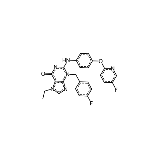 CCn1cnc2c1c(=O)nc(Nc1ccc(Oc3ccc(F)cn3)cc1)n2Cc1ccc(F)cc1